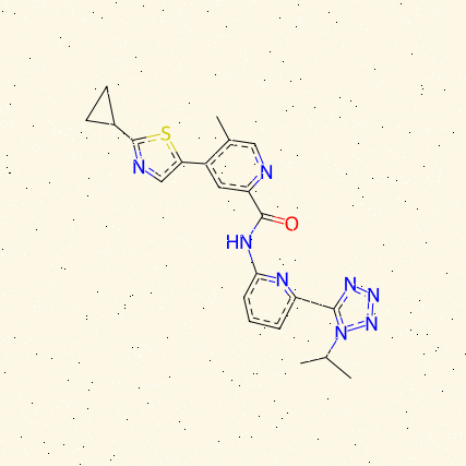 Cc1cnc(C(=O)Nc2cccc(-c3nnnn3C(C)C)n2)cc1-c1cnc(C2CC2)s1